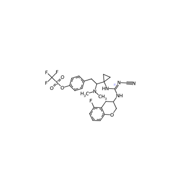 CN(C)C(Cc1ccc(OS(=O)(=O)C(F)(F)F)cc1)C1(N/C(=N/C#N)NC2COc3cccc(F)c3C2)CC1